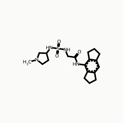 CN1CCC(NS(=O)(=O)NCC(=O)Nc2c3c(cc4c2CCC4)CCC3)C1